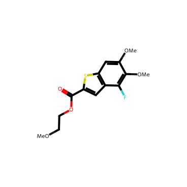 COCCOC(=O)c1cc2c(F)c(OC)c(OC)cc2s1